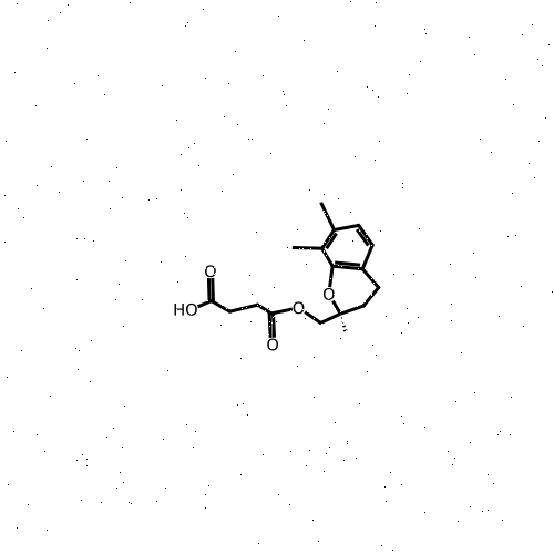 Cc1ccc2c(c1C)O[C@](C)(COC(=O)CCC(=O)O)CC2